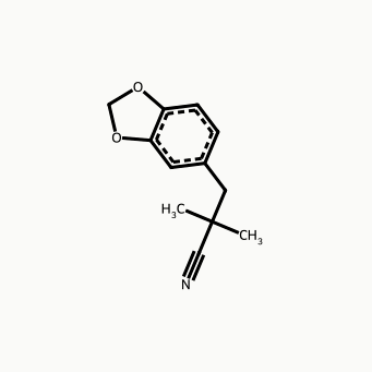 CC(C)(C#N)Cc1ccc2c(c1)OCO2